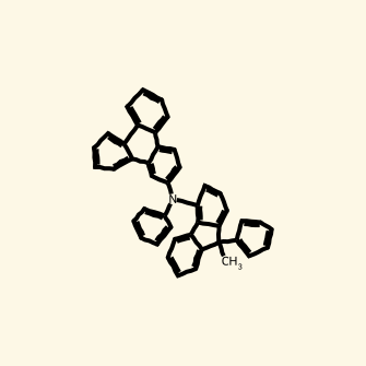 CC1(c2ccccc2)c2ccccc2-c2c(N(c3ccccc3)c3ccc4c5ccccc5c5ccccc5c4c3)cccc21